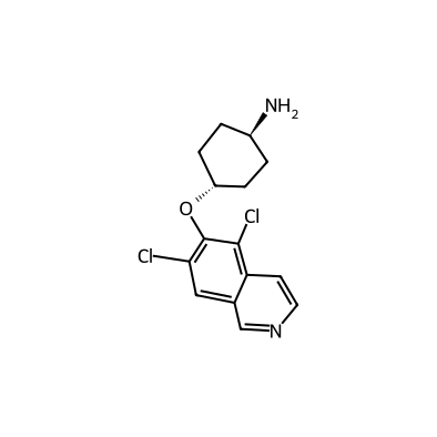 N[C@H]1CC[C@H](Oc2c(Cl)cc3cnccc3c2Cl)CC1